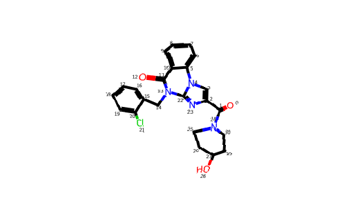 O=C(c1cn2c3ccccc3c(=O)n(Cc3ccccc3Cl)c2n1)N1CCC(O)CC1